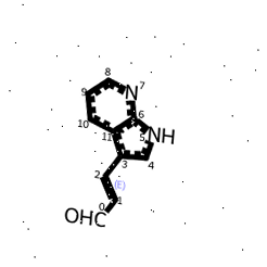 O=C/C=C/c1c[nH]c2ncccc12